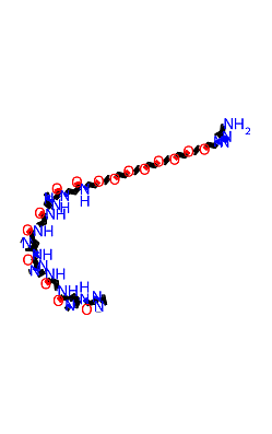 Cn1cc(NC(=O)c2nc(NC(=O)CCNC(=O)c3cc(NC(=O)c4nccn4C)cn3C)cn2C)cc1C(=O)NCCC(=O)Nc1cn(C)c(C(=O)NCCC(=O)NCCOCCOCCOCCOCCOCCOCCOCCOCCn2cc(CN)nn2)n1